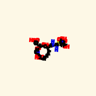 CO[C@@H]1C[C@H](/C=C(\C)[C@H]2OC(=O)[C@@H]3CCCCN3C(=O)C(=O)[C@]3(O)O[C@H]([C@@H](C)C[C@@H](C)C/C(C)=C/[C@@H](CCC(C)(C)NC[C@@H]4C[C@H](SC5=C(C(=O)O)N6C(=O)[C@H]([C@@H](C)O)[C@H]6[C@H]5C)CN4)C(=O)C[C@H](O)[C@H]2C)[C@@H](C)C[C@H]3C)CC[C@H]1O